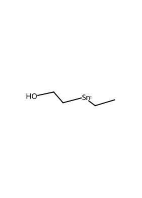 C[CH2][Sn][CH2]CO